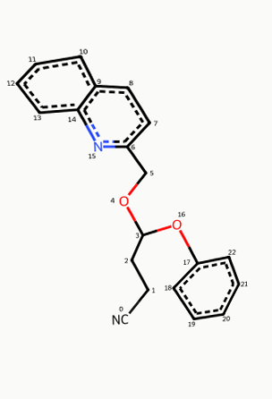 N#CCCC(OCc1ccc2ccccc2n1)Oc1ccccc1